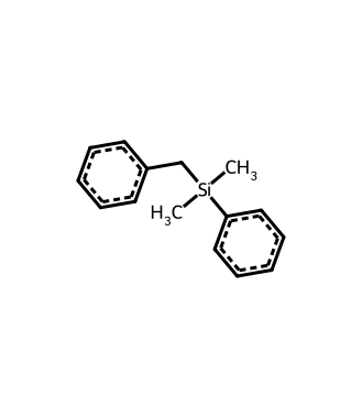 C[Si](C)(Cc1ccccc1)c1ccccc1